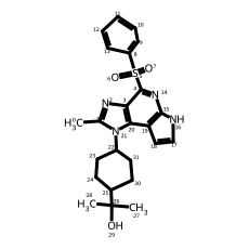 Cc1nc2c(S(=O)(=O)c3ccccc3)nc3[nH]ccc3c2n1C1CCC(C(C)(C)O)CC1